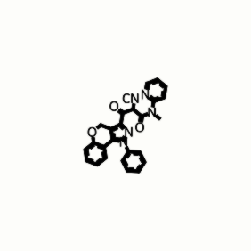 CN(C(=O)C(C#N)C(=O)c1nn(-c2ccccc2)c2c1COc1ccccc1-2)c1ccccn1